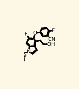 N#Cc1cc(Oc2c(F)cc3c(ccn3SI)c2CCO)ccc1F